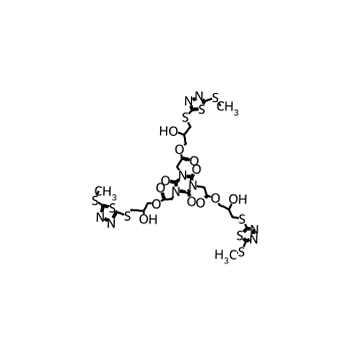 CSc1nnc(SCC(O)COC(=O)Cn2c(=O)n(CC(=O)OCC(O)CSc3nnc(SC)s3)c(=O)n(CC(=O)OCC(O)CSc3nnc(SC)s3)c2=O)s1